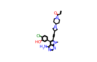 C=CC(=O)N1CCC(N2CC(C#Cc3c(-c4ccc(Cl)c(O)c4)c4c(N)ncnc4n3C)C2)CC1